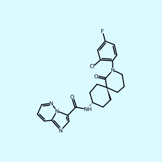 O=C(N[C@H]1CC[C@@]2(CCCN(c3ccc(F)cc3Cl)C2=O)CC1)c1cnc2cccnn12